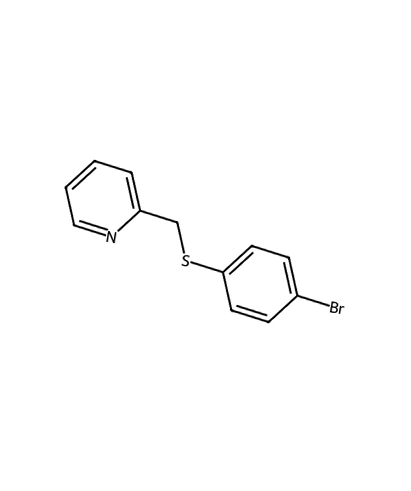 Brc1ccc(SCc2ccccn2)cc1